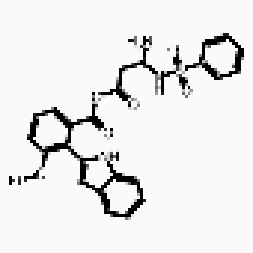 CCOc1cccc(C(=O)OC(=O)C[C@@H](N)NS(=O)(=O)c2ccccc2)c1-c1cc2ccccc2[nH]1